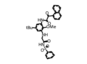 COc1c(NCC(=O)NS(=O)(=O)c2ccccc2)cc(C(C)(C)C)cc1NC(=O)C(=O)c1cccc2ccccc12